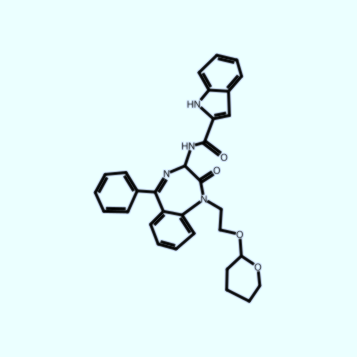 O=C(NC1N=C(c2ccccc2)c2ccccc2N(CCOC2CCCCO2)C1=O)c1cc2ccccc2[nH]1